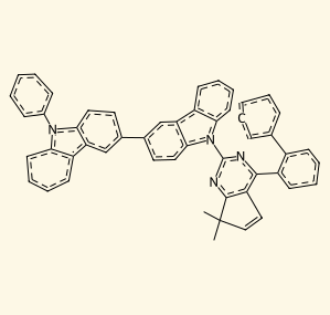 CC1(C)C=Cc2c(-c3ccccc3-c3ccccc3)nc(-n3c4ccccc4c4cc(-c5ccc6c(c5)c5ccccc5n6-c5ccccc5)ccc43)nc21